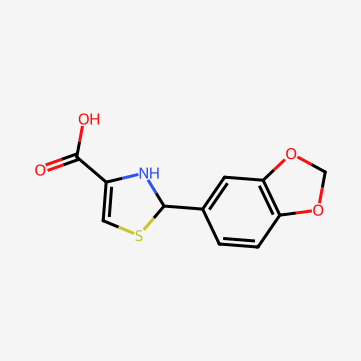 O=C(O)C1=CSC(c2ccc3c(c2)OCO3)N1